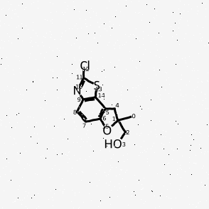 CC1(CO)Cc2c(ccc3nc(Cl)sc23)O1